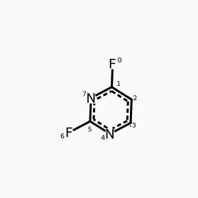 Fc1c[c]nc(F)n1